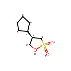 O=S1(=O)C[C@H](C2CCCC2)CO1